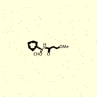 COCCC(=O)NN([C]=O)c1ccccc1